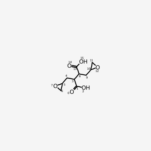 O=C(O)C(CC1CO1)C(CC1CO1)C(=O)O